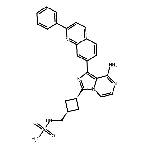 CS(=O)(=O)NC[C@H]1C[C@@H](c2nc(-c3ccc4ccc(-c5ccccc5)nc4c3)c3c(N)nccn32)C1